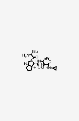 CCC[C@H](NC(=O)[C@@H]1[C@H]2CCC[C@H]2CN1C(=O)[C@@H](N)C(C)(C)C)C(O)C(=O)NC1CC1